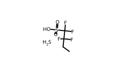 CCC(F)(F)C(F)(F)S(=O)(=O)O.S